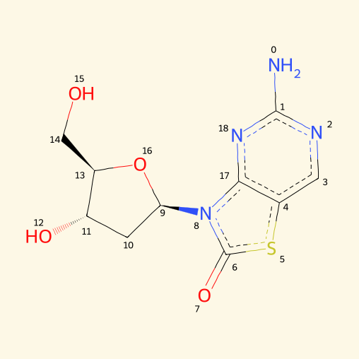 Nc1ncc2sc(=O)n([C@H]3C[C@H](O)[C@@H](CO)O3)c2n1